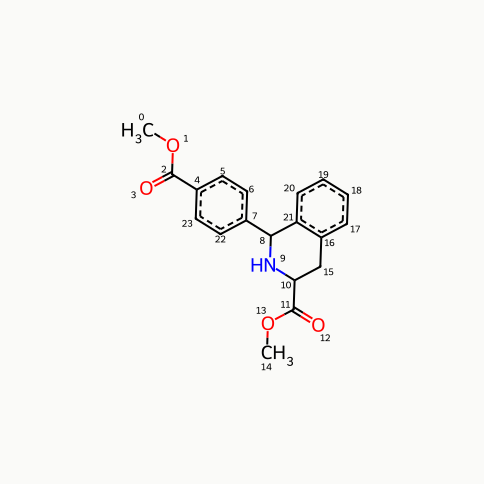 COC(=O)c1ccc(C2NC(C(=O)OC)Cc3ccccc32)cc1